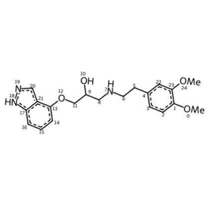 COc1ccc(CCNCC(O)COc2cccc3[nH]ncc23)cc1OC